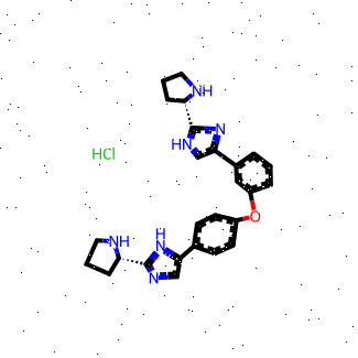 Cl.c1cc(Oc2ccc(-c3cnc([C@@H]4CCCN4)[nH]3)cc2)cc(-c2c[nH]c([C@@H]3CCCN3)n2)c1